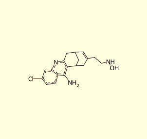 Nc1c2c(nc3cc(Cl)ccc13)CC1C=C(CCNO)CC2C1